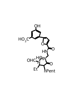 CCCCCC(C(=O)NCNC(=O)c1ccc(-c2cc(O)cc(C(=O)O)c2)o1)C(CC)N(O)C=O